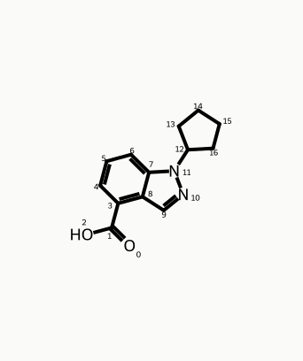 O=C(O)c1cccc2c1cnn2C1CCCC1